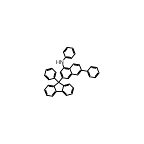 c1ccc(Nc2cc(C3(c4ccccc4)c4ccccc4-c4ccccc43)cc3cc(-c4ccccc4)ccc23)cc1